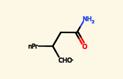 CCCC([C]=O)CC(N)=O